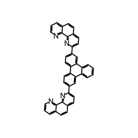 c1cnc2c(c1)ccc1ccc(-c3ccc4c5ccc(-c6ccc7ccc8cccnc8c7n6)cc5c5ccccc5c4c3)nc12